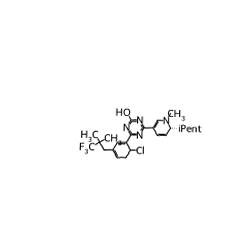 CCC[C@@H](C)C1C=CC(c2nc(O)nc(C3=CC(CC(C)(C)C(F)(F)F)=CCC3Cl)n2)=CN1C